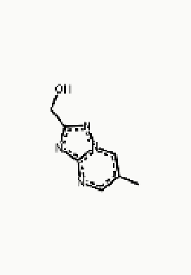 Cc1cnc2nc(CO)nn2c1